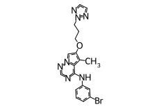 Cc1c(OCCCn2nccn2)cn2ncnc(Nc3cccc(Br)c3)c12